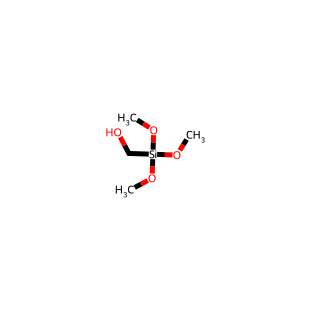 CO[Si](CO)(OC)OC